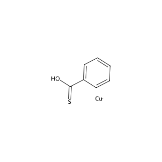 OC(=S)c1ccccc1.[Cu]